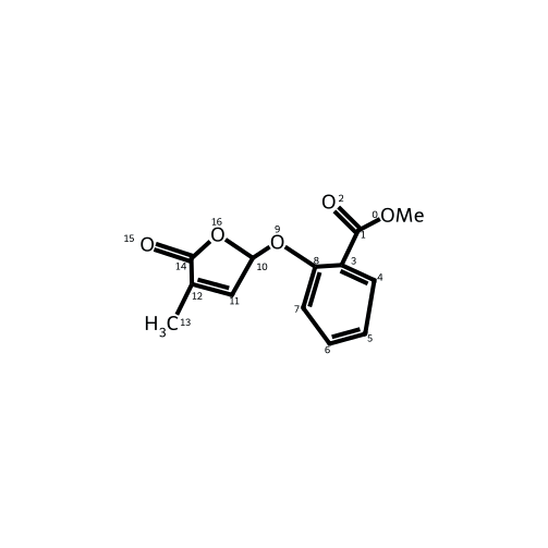 COC(=O)c1ccccc1OC1C=C(C)C(=O)O1